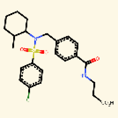 CC1CCCCC1N(Cc1ccc(C(=O)NCCC(=O)O)cc1)S(=O)(=O)c1ccc(Cl)cc1